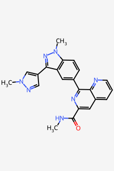 CNC(=O)c1cc2cccnc2c(-c2ccc3c(c2)c(-c2cnn(C)c2)nn3C)n1